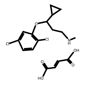 CNCCC(Oc1cc(Cl)ccc1Cl)C1CC1.O=C(O)C=CC(=O)O